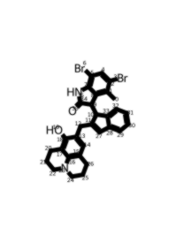 Cc1c(Br)cc(Br)c2c1C(C1C(Cc3cc4c5c(c3O)CCCN5CCC4)=Cc3ccccc31)C(=O)N2